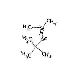 C[SiH](C)[Se]C(C)(C)C